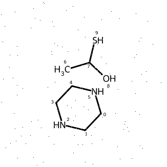 C1CNCCN1.CC(O)S